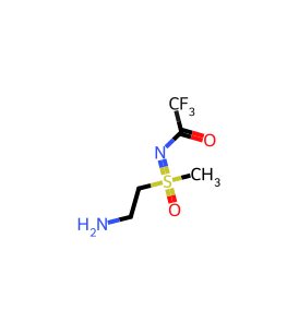 CS(=O)(CCN)=NC(=O)C(F)(F)F